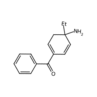 CCC1(N)C=CC(C(=O)c2ccccc2)=CC1